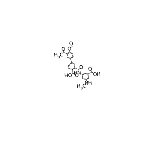 CNc1cc(NC(=O)c2cc(-c3ccc(OC=O)c(C(C)=O)c3)ccc2C(=O)O)cc(C(=O)O)c1